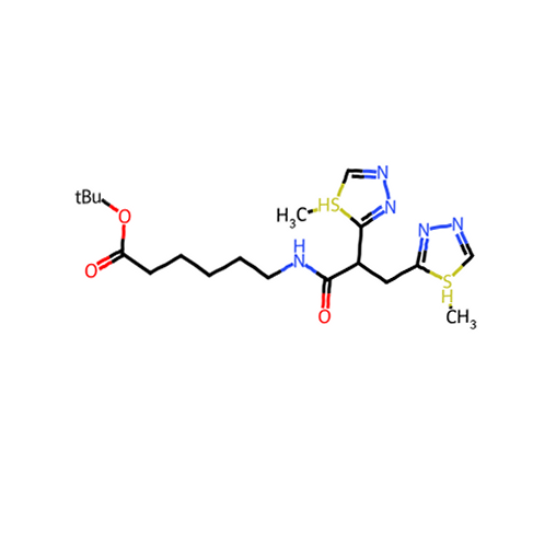 C[SH]1C=NN=C1CC(C(=O)NCCCCCC(=O)OC(C)(C)C)C1=NN=C[SH]1C